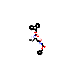 O=C(CCC(NC(=O)OCC1c2ccccc2-c2ccccc21)C(=O)O)NCC(=O)OCc1ccccc1